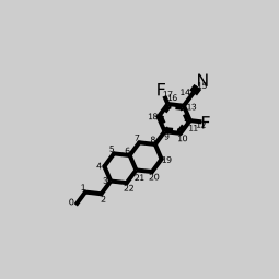 CCCC1CCC2CC(c3cc(F)c(C#N)c(F)c3)CCC2C1